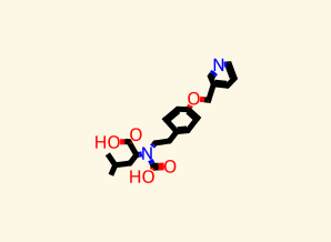 CC(C)CC(C(=O)O)N(CCc1ccc(OCc2cccnc2)cc1)C(=O)O